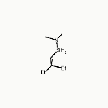 CCC(=C[SiH2]N(C)C)CC